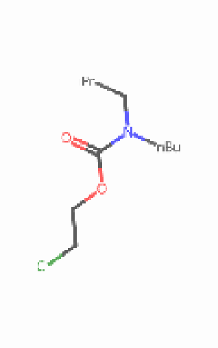 CCCCN(CC(C)C)C(=O)OCCCl